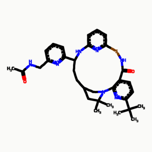 CC(=O)NCc1cccc(C2CCC3CN(c4nc(C(C)(C)C)ccc4C(=O)NSc4cccc(n4)N2)C(C)(C)C3)n1